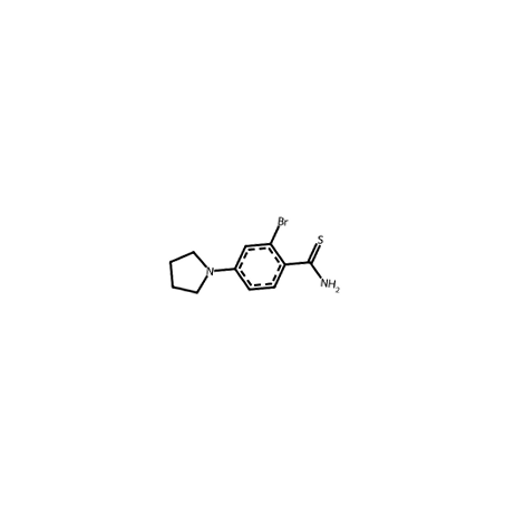 NC(=S)c1ccc(N2CCCC2)cc1Br